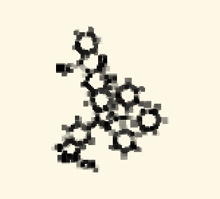 C[C@H](c1ccccc1)N1Cc2cc3c(-c4ccc5nnn(C)c5c4)nn(C(c4ccccc4)(c4ccccc4)c4ccccc4)c3cc2NC1=O